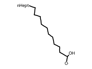 CCCCCCCCCCCCCCCCCC([O])O